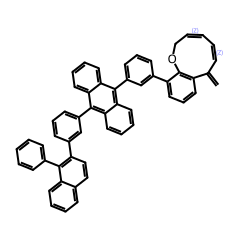 C=C1/C=C\C=C/COc2c1cccc2-c1cccc(-c2c3ccccc3c(-c3cccc(-c4ccc5ccccc5c4-c4ccccc4)c3)c3ccccc23)c1